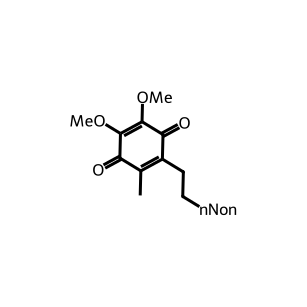 CCCCCCCCCCCC1=C(C)C(=O)C(OC)=C(OC)C1=O